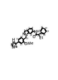 CCC(C(=O)Nc1ccc2cnn(Cc3ccc(-c4nnn[nH]4)cc3OC)c2c1)c1ccccc1